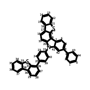 c1ccc(-c2ccc3c4c5sc6ccccc6c5ccc4n(-c4ccc(-c5cccc6c5sc5ccccc56)cc4)c3c2)cc1